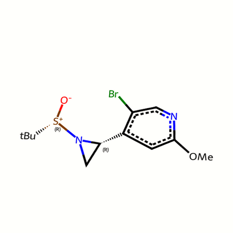 COc1cc([C@@H]2CN2[S@@+]([O-])C(C)(C)C)c(Br)cn1